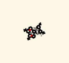 CC(C)(C)C1=CC=C2C(C1)C1CC(C(C)(C)C)CC=C1N2C1=C(N)C(C2C=CCCC2)C(N2C3CCC(C(C)(C)C)CC3C3CC(C(C)(C)C)CCC32)C(C2=CC=CCC2)C1N